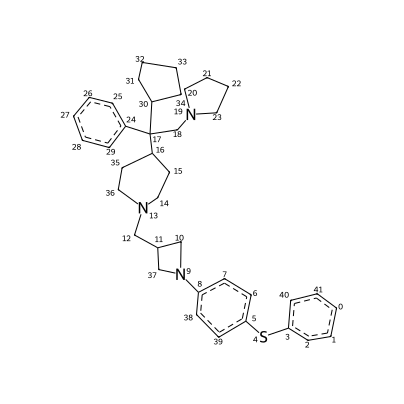 c1ccc(Sc2ccc(N3CC(CN4CCC(C(CN5CCCC5)(c5ccccc5)C5CCCC5)CC4)C3)cc2)cc1